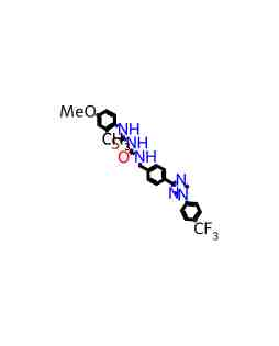 COc1ccc(NC(=S)NC(=O)NCc2ccc(-c3ncn(-c4ccc(C(F)(F)F)cc4)n3)cc2)c(C)c1